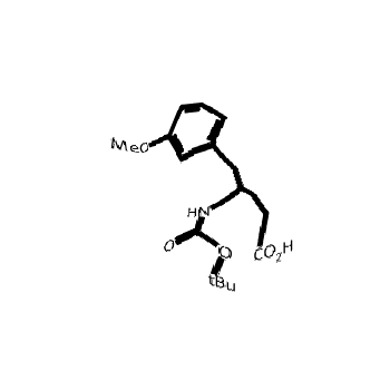 COc1cccc(CC(CC(=O)O)NC(=O)OC(C)(C)C)c1